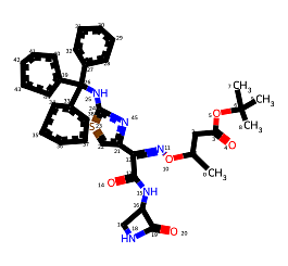 CC(CC(=O)OC(C)(C)C)ON=C(C(=O)NC1CNC1=O)c1csc(NC(c2ccccc2)(c2ccccc2)c2ccccc2)n1